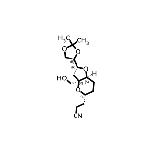 CC1(C)OC[C@H]([C@H]2C[C@]3(CO)O[C@@H](CCC#N)CC[C@@H]3O2)O1